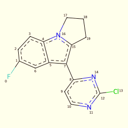 Fc1ccc2c(c1)c(-c1ccnc(Cl)n1)c1n2CCC1